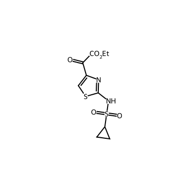 CCOC(=O)C(=O)c1csc(NS(=O)(=O)C2CC2)n1